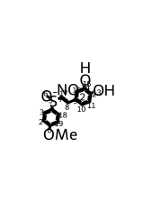 COc1ccc([S+]([O-])C(=Cc2ccc(O)c(O)c2)[N+](=O)[O-])cc1